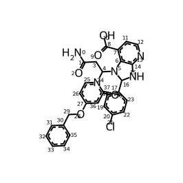 NC(=O)CC(N1c2c(C(=O)O)ccnc2NC1c1ccc(Cl)cc1)n1ccc(OCc2ccccc2)cc1=O